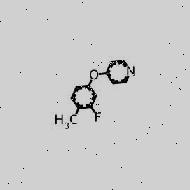 Cc1ccc(Oc2ccncc2)cc1F